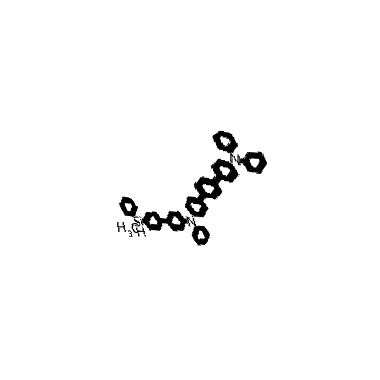 C[SiH](c1ccccc1)c1ccc(-c2ccc(N(c3ccccc3)c3ccc(-c4ccc(-c5ccc(N(c6ccccc6)c6ccccc6)cc5)cc4)cc3)cc2)cc1